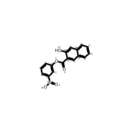 O=C(Oc1cccc([N+](=O)[O-])c1)c1cc2ccccc2cc1O